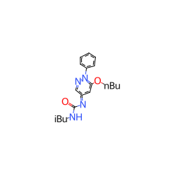 CCCCOc1cc(=NC(=O)NC(C)CC)cnn1-c1ccccc1